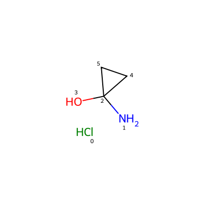 Cl.NC1(O)CC1